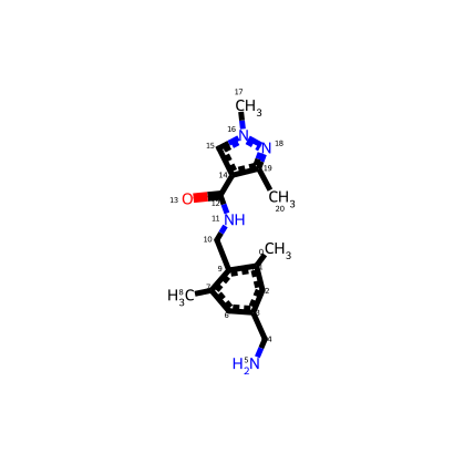 Cc1cc(CN)cc(C)c1CNC(=O)c1cn(C)nc1C